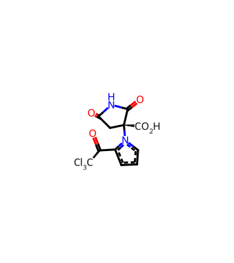 O=C1C[C@@](C(=O)O)(n2cccc2C(=O)C(Cl)(Cl)Cl)C(=O)N1